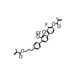 C=C(C)C(=O)OCCCc1ccc(-c2ccc3c(oc4c(F)c(OC(=O)C(=C)C)ccc43)c2OC(F)(F)F)cc1